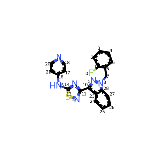 Fc1ccccc1Cn1nc(-c2nsc(Nc3ccncc3)n2)c2ccccc21